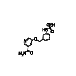 [2H]S(=O)(=O)Nc1cccc(COc2cncc(C(N)=O)c2)c1